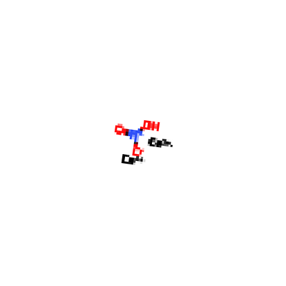 O=[N+]([O-])O.[Ce+3].[Ce+4]